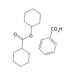 O=C(O)c1ccccc1.O=C(OC1CCCCC1)C1CCCCC1